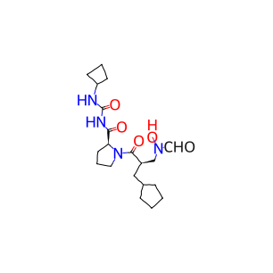 O=CN(O)C[C@@H](CC1CCCC1)C(=O)N1CCC[C@H]1C(=O)NC(=O)NC1CCC1